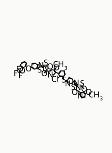 COc1ccnc2c(=O)n(-c3nc4ccc(Sc5cccc(-c6cnc7c(=O)n(-c8nc9ccc(Oc%10ccccc%10OC(F)(F)F)cc9s8)c(=S)oc7c6OC)c5Cl)nc4s3)c(=S)oc12